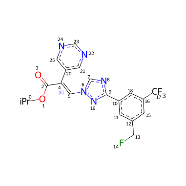 CC(C)OC(=O)/C(=C/n1cnc(-c2cc(CF)cc(C(F)(F)F)c2)n1)c1cncnc1